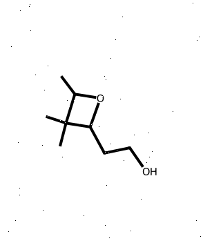 CC1OC(CCO)C1(C)C